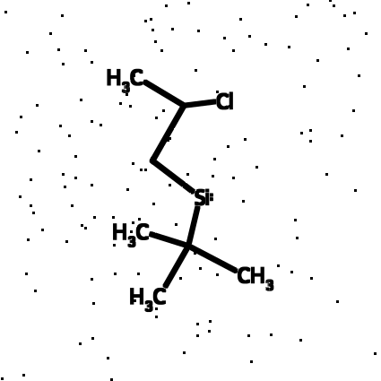 CC(Cl)C[Si]C(C)(C)C